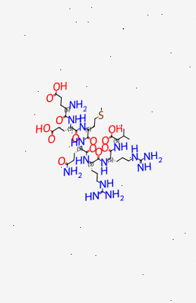 CSCC[C@H](NC(=O)[C@H](CCC(=O)O)NC(=O)[C@@H](N)CCC(=O)O)C(=O)N[C@@H](CCC(N)=O)C(=O)N[C@@H](CCCNC(=N)N)C(=O)N[C@@H](CCCNC(=N)N)C(=O)N[C@H](C(=O)O)C(C)C